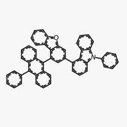 c1ccc(-c2c3ccccc3c(-c3cc(-c4cccc5c4c4ccccc4n5-c4ccccc4)cc4oc5ccccc5c34)c3ccccc23)cc1